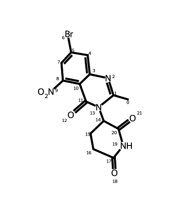 Cc1nc2cc(Br)cc([N+](=O)[O-])c2c(=O)n1C1CCC(=O)NC1=O